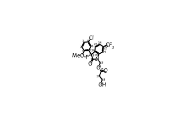 COc1ccc(Cl)cc1[C@]1(F)C(=O)N(COC(=O)CCO)c2cc(C(F)(F)F)ccc21